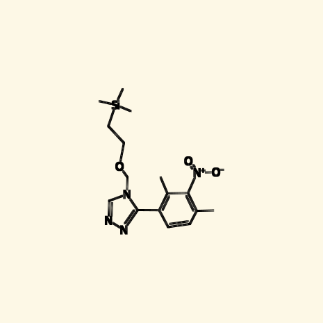 Cc1ccc(-c2nncn2COCC[Si](C)(C)C)c(C)c1[N+](=O)[O-]